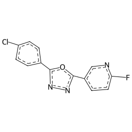 Fc1ccc(-c2nnc(-c3ccc(Cl)cc3)o2)cn1